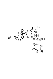 COC(=O)CS(=O)(=O)N1CCC(C)(NC[C@H](O)c2cccc(F)c2)CC1.Cl